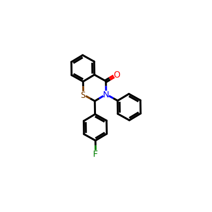 O=C1c2ccccc2SC(c2ccc(F)cc2)N1c1ccccc1